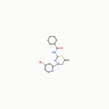 C=C1C[C@@](C)(c2cc(Br)ccn2)N=C(NC(=O)c2ccccc2)S1